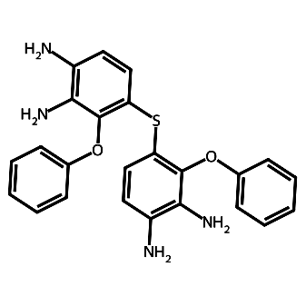 Nc1ccc(Sc2ccc(N)c(N)c2Oc2ccccc2)c(Oc2ccccc2)c1N